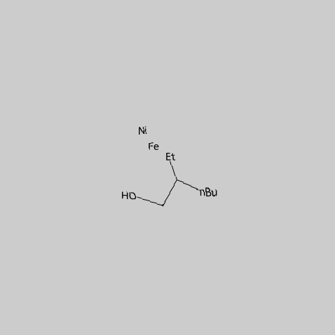 CCCCC(CC)CO.[Fe].[Ni]